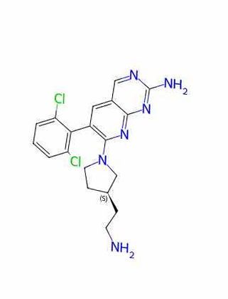 NCC[C@H]1CCN(c2nc3nc(N)ncc3cc2-c2c(Cl)cccc2Cl)C1